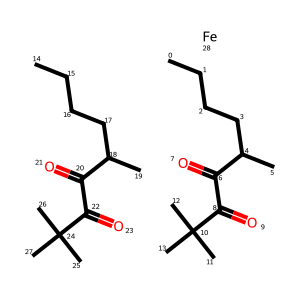 CCCCC(C)C(=O)C(=O)C(C)(C)C.CCCCC(C)C(=O)C(=O)C(C)(C)C.[Fe]